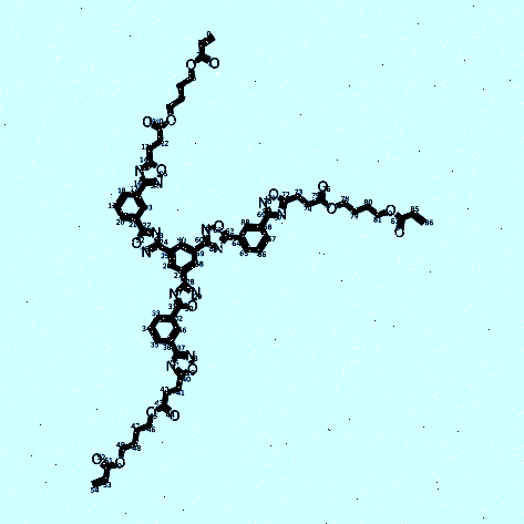 C=CC(=O)OCCCCOC(=O)CCc1nc(-c2cccc(-c3nc(-c4cc(-c5noc(-c6cccc(-c7noc(CCC(=O)OCCCCOC(=O)C=C)n7)c6)n5)cc(-c5noc(-c6cccc(-c7noc(CCC(=O)OCCCCOC(=O)C=C)n7)c6)n5)c4)no3)c2)no1